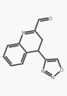 O=CC1=Nc2ccccc2C(c2conn2)C1